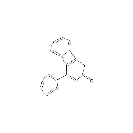 O=C1C=C(c2ccccn2)C2=C(C1)c1ccccc12